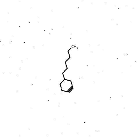 CCCCCCC1CC#CCC1